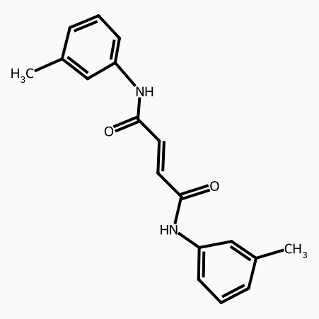 Cc1cccc(NC(=O)/C=C/C(=O)Nc2cccc(C)c2)c1